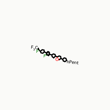 CCCCCC1CCC(C2CCC(C3CCC(c4ccc(C5CCC(/C(F)=C/C(F)(F)F)CC5)c(F)c4)CC3)OC2)CC1